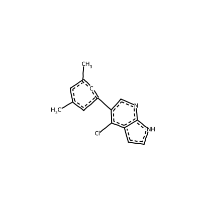 Cc1cc(C)cc(-c2cnc3[nH]ccc3c2Cl)c1